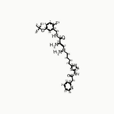 CC(F)(F)Oc1ccc(F)c(CNC(=O)/C(N)=C/N(N)CCCCc2nnc(NC(=O)Cc3ccccn3)s2)c1